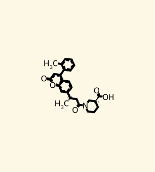 Cc1ccccc1-c1cc(=O)oc2cc([C@@H](C)CC(=O)N3CCC[C@H](C(=O)O)C3)ccc12